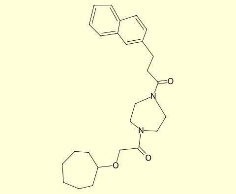 O=C(CCc1ccc2ccccc2c1)N1CCN(C(=O)COC2CCCCCC2)CC1